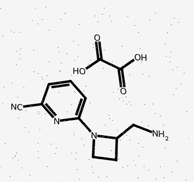 N#Cc1cccc(N2CCC2CN)n1.O=C(O)C(=O)O